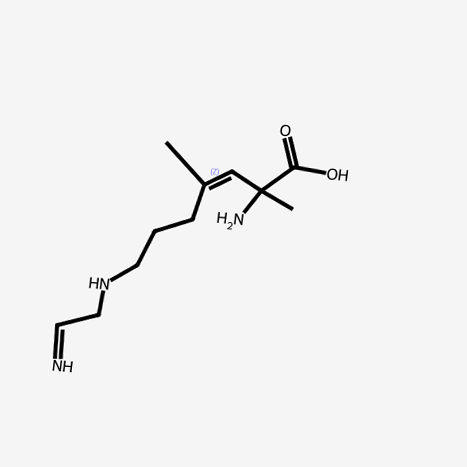 C/C(=C/C(C)(N)C(=O)O)CCCNCC=N